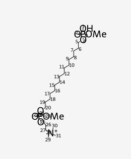 COP(=O)(O)OCCCCCCCCCCCCCCCCOP(=O)(OC)OCC[N+](C)(C)C